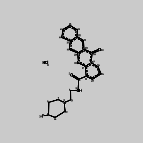 Cl.O=C(NCCN1CCC(F)CC1)c1cccn2c(=O)c3cc4ccccc4cc3nc12